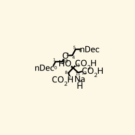 CCCCCCCCCCCCOCCCCCCCCCCCC.O=C(O)CC(O)(CC(=O)O)C(=O)O.[NaH]